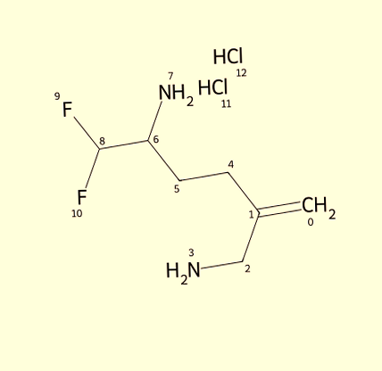 C=C(CN)CCC(N)C(F)F.Cl.Cl